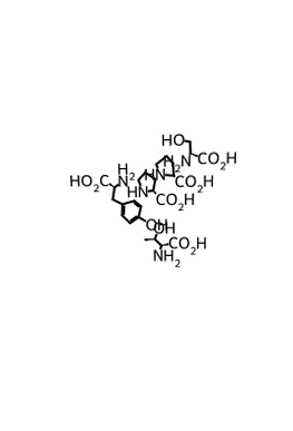 C[C@@H](O)[C@H](N)C(=O)O.N[C@@H](CO)C(=O)O.N[C@@H](Cc1ccc(O)cc1)C(=O)O.O=C(O)[C@@H]1CCCN1.O=C(O)[C@@H]1CCCN1